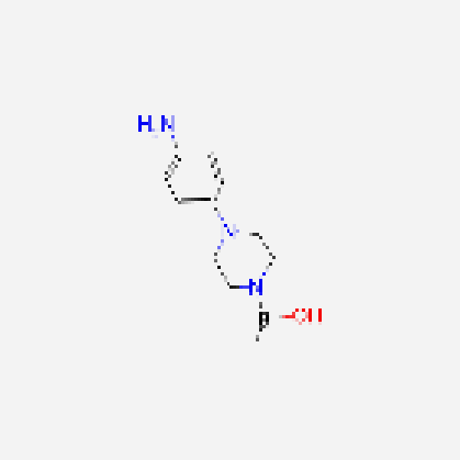 CB(O)N1CCN(c2ccc(N)cc2)CC1